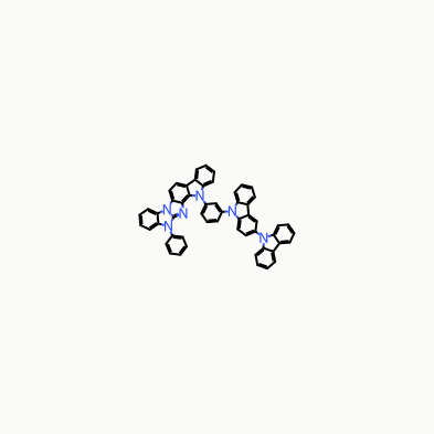 c1ccc(-n2c3ccccc3n3c4ccc5c6ccccc6n(-c6cccc(-n7c8ccccc8c8cc(-n9c%10ccccc%10c%10ccccc%109)ccc87)c6)c5c4nc23)cc1